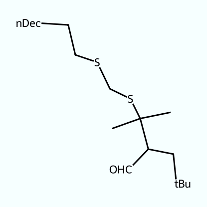 CCCCCCCCCCCCSCSC(C)(C)C(C=O)CC(C)(C)C